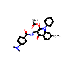 COC(=O)Oc1c(CNC(=O)c2ccc(N(C)C)cc2)c(=O)c2ccc(OC)cc2n1-c1ccccc1